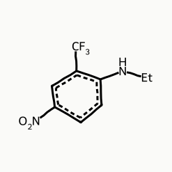 CCNc1ccc([N+](=O)[O-])cc1C(F)(F)F